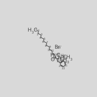 CCCCCCCCCCCCCCC(=O)C(Cc1ccccc1)[N+](C)(C)CC.[Br-]